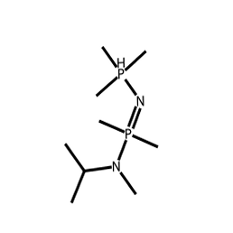 CC(C)N(C)P(C)(C)=N[PH](C)(C)C